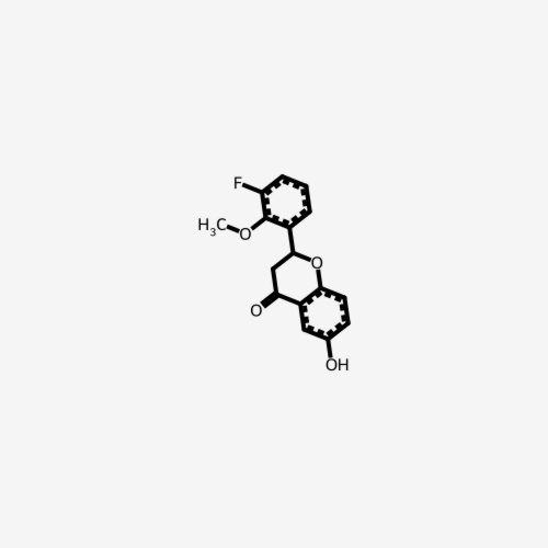 COc1c(F)cccc1C1CC(=O)c2cc(O)ccc2O1